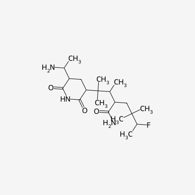 CC(N)C1CC(C(C)(C)C(C)C(CC(C)(C)C(C)F)C(N)=O)C(=O)NC1=O